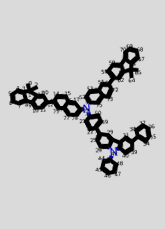 CC1(C)c2ccccc2-c2ccc(-c3ccc4cc(N(c5ccc(-c6ccc7c(c6)c6cc(-c8ccccc8)ccc6n7-c6ccccc6)cc5)c5ccc6cc(-c7ccc8c(c7)C(C)(C)c7ccccc7-8)ccc6c5)ccc4c3)cc21